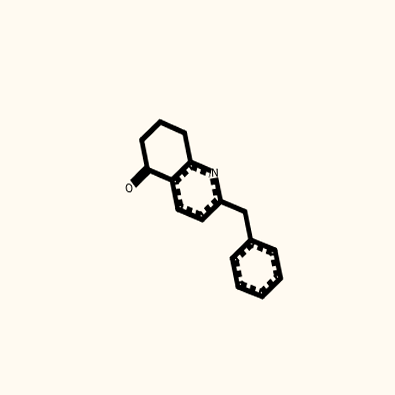 O=C1CCCc2nc(Cc3ccccc3)ccc21